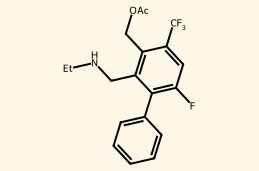 CCNCc1c(COC(C)=O)c(C(F)(F)F)cc(F)c1-c1ccccc1